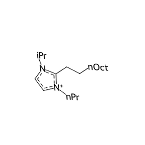 CCCCCCCCCCc1n(C(C)C)cc[n+]1CCC